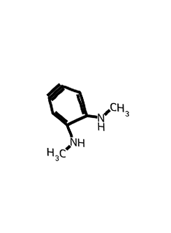 CNc1cc#ccc1NC